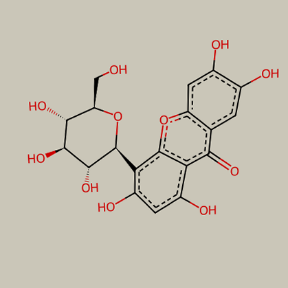 O=c1c2cc(O)c(O)cc2oc2c([C@@H]3O[C@H](CO)[C@@H](O)[C@H](O)[C@H]3O)c(O)cc(O)c12